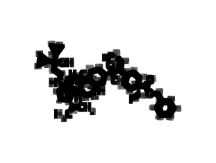 C=C(C)[C@@H]1CC[C@]2(NCCC(O)(C3CC3)C3CC3)CC[C@]3(C)[C@H](CC[C@@H]4C[C@H](C(C)(C)/C(=C\CCC)C5=CC[C@](CF)(C(=O)OCc6ccccc6)CC5)CC[C@]43C)[C@@H]12